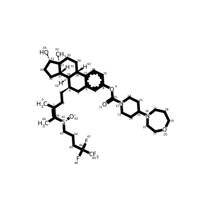 C/C(CC[C@@H]1Cc2cc(OC(=O)N3CCC(N4CCCOCC4)CC3)ccc2[C@H]2CC[C@]3(C)[C@@H](O)CC[C@H]3[C@H]12)=C(\C)[S+]([O-])CCCC(F)(F)C(F)(F)F